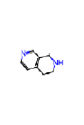 [CH]1NCCc2ccncc21